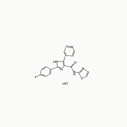 Cl.O=C(Nc1nccs1)c1nc(-c2ccc(F)cc2)[nH]c1-c1ccncc1